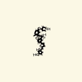 Cc1ccc(OC2CCNCC2)cc1C(=O)N[C@H](C)c1cccc(-c2ccc(CN[C@H]3CC[C@@H](O)C3)s2)c1